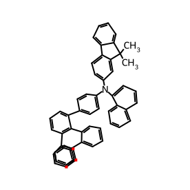 CC1(C)c2ccccc2-c2ccc(N(c3ccc(-c4cccc(-c5ccccc5)c4-c4ccccc4-c4ccccc4)cc3)c3cccc4ccccc34)cc21